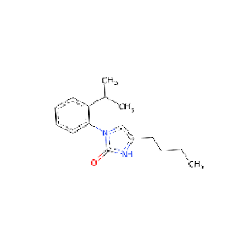 CCCCc1cn(-c2ccccc2C(C)C)c(=O)[nH]1